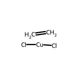 C=C.[Cl][Cu][Cl]